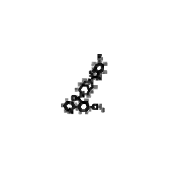 Cc1ccc(-c2ccccn2)c(C(=O)N2CC3CC(C2)CN(c2nc4ccc(F)cc4s2)C3)c1